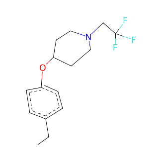 CCc1ccc(OC2CCN(CC(F)(F)F)CC2)cc1